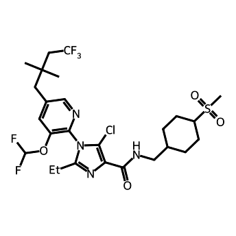 CCc1nc(C(=O)NCC2CCC(S(C)(=O)=O)CC2)c(Cl)n1-c1ncc(CC(C)(C)CC(F)(F)F)cc1OC(F)F